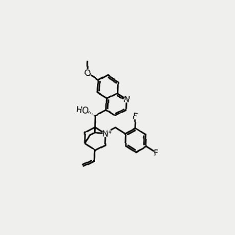 C=CC1C[N+]2(Cc3ccc(F)cc3F)CCC1CC2[C@H](O)c1ccnc2ccc(OC)cc12